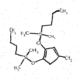 CCCC[Si](C)(C)OC1=C(O[Si](C)(C)CCCC)CC(C)=C1